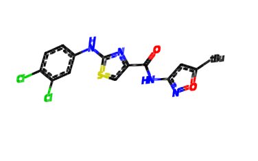 CC(C)(C)c1cc(NC(=O)c2csc(Nc3ccc(Cl)c(Cl)c3)n2)no1